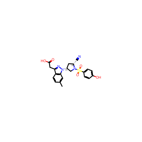 Cc1ccc2c(CC(=O)O)nn([C@@H]3C[C@H](C#N)N(S(=O)(=O)c4ccc(O)cc4)C3)c2c1